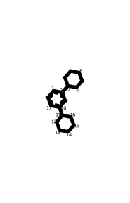 c1cc(C2CCCCC2)cc(C2CCCCC2)c1